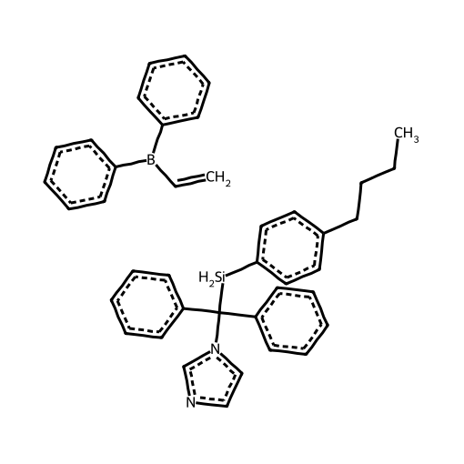 C=CB(c1ccccc1)c1ccccc1.CCCCc1ccc([SiH2]C(c2ccccc2)(c2ccccc2)n2ccnc2)cc1